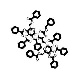 O=C(NC(CO[C@H]1O[C@H](COC(=O)c2ccccc2)[C@@H](OC(=O)c2ccccc2)[C@H](OC(=O)c2ccccc2)[C@@H]1OC(=O)c1ccccc1)CO[C@H]1O[C@H](COC(=O)c2ccccc2)[C@@H](OC(=O)c2ccccc2)[C@H](OC(=O)c2ccccc2)[C@@H]1OC(=O)c1ccccc1)OCc1ccccc1